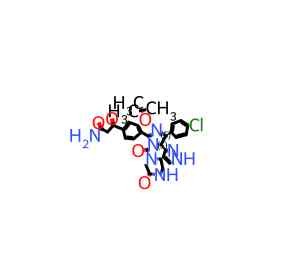 CC(C)(C)Oc1cc(C(=O)CC(N)=O)ccc1C1=N[C@@H](c2ccc(Cl)cc2)[C@@H](c2cc[nH]n2)N1C(=O)N1CCNC(=O)C1